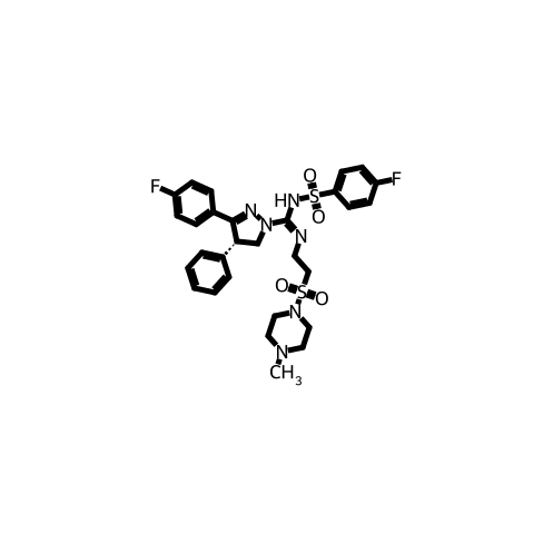 CN1CCN(S(=O)(=O)CC/N=C(/NS(=O)(=O)c2ccc(F)cc2)N2C[C@H](c3ccccc3)C(c3ccc(F)cc3)=N2)CC1